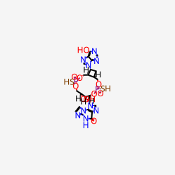 O=c1[nH]c2nccn2c2c1ncn2[C@@H]1O[C@@H]2COP(=O)(S)OC[C@@H]3[C@@H](COP(=O)(S)O[C@@H]1[C@@H]2O)C[C@H]3n1cnc2c(O)ncnc21